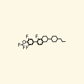 CCCC1CCC(C2CCc3c(ccc(-c4cc(F)c(OC(F)F)c(F)c4)c3F)C2)CC1